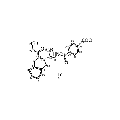 CC(C)(C)OC(=O)N1Cc2ccccc2C[C@H]1C(O)CNC(=O)c1ccc(C(=O)[O-])cc1.[Li+]